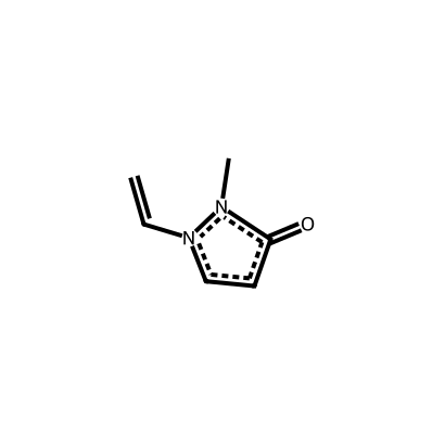 C=Cn1ccc(=O)n1C